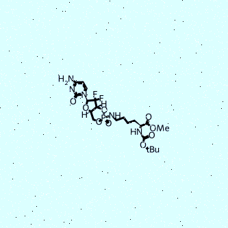 COC(=O)[C@H](CCCCNP1(=O)OC[C@H]2O[C@@H](n3ccc(N)nc3=O)C(F)(F)[C@@H]2O1)NC(=O)OC(C)(C)C